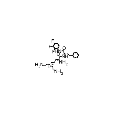 C[N+](CCN)(CCN)CCC[C@H](N)C(=O)N[C@@H](CCc1ccccc1)C(=O)Nc1ccc(F)c(F)c1F